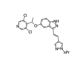 CCCn1cc(/C=C/c2n[nH]c3ccc(OC(C)c4c(Cl)cncc4Cl)cc23)cn1